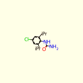 CC(C)c1cc(Cl)cc(C(C)C)c1NC(N)=O